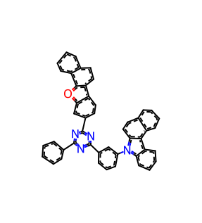 c1ccc(-c2nc(-c3cccc(-n4c5ccccc5c5c6ccccc6ccc54)c3)nc(-c3ccc4c(c3)oc3c5ccccc5ccc43)n2)cc1